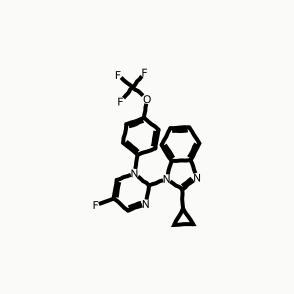 FC1=CN(c2ccc(OC(F)(F)F)cc2)C(n2c(C3CC3)nc3ccccc32)N=C1